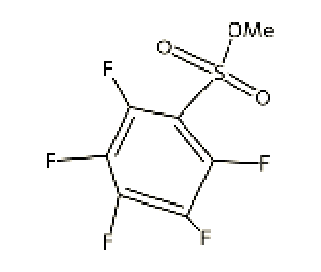 COS(=O)(=O)c1c(F)c(F)c(F)c(F)c1F